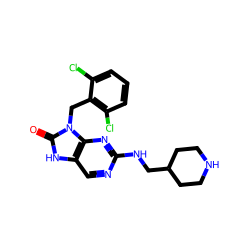 O=c1[nH]c2cnc(NCC3CCNCC3)nc2n1Cc1c(Cl)cccc1Cl